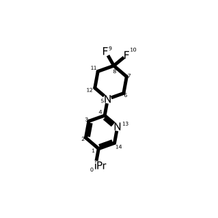 CC(C)c1ccc(N2CCC(F)(F)CC2)nc1